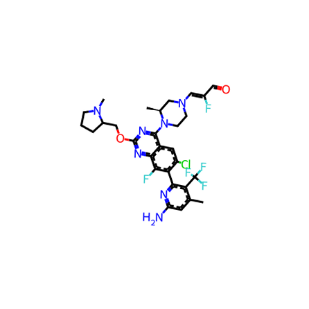 Cc1cc(N)nc(-c2c(Cl)cc3c(N4CCN(C=C(F)C=O)C[C@@H]4C)nc(OCC4CCCN4C)nc3c2F)c1C(F)(F)F